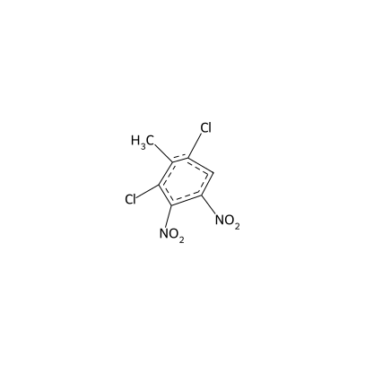 Cc1c(Cl)cc([N+](=O)[O-])c([N+](=O)[O-])c1Cl